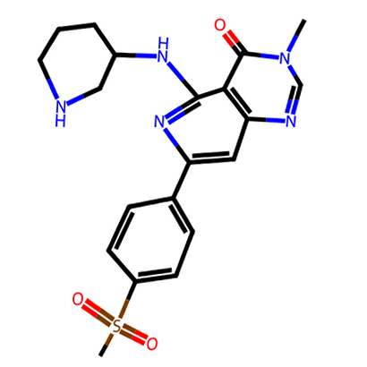 Cn1cnc2cc(-c3ccc(S(C)(=O)=O)cc3)nc(NC3CCCNC3)c2c1=O